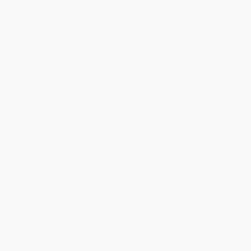 CC1=Cc2cc(C(C)(C)C)ccc2[CH]1[Zr+2].[Cl-].[Cl-]